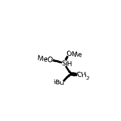 C=C(C(C)CC)[SiH](OC)OC